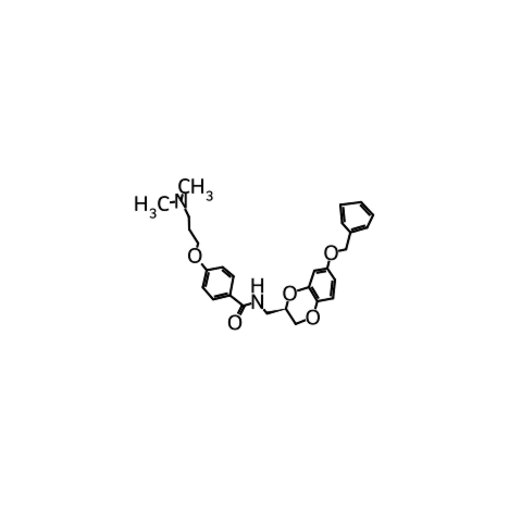 CN(C)CCCOc1ccc(C(=O)NC[C@@H]2COc3ccc(OCc4ccccc4)cc3O2)cc1